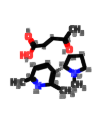 CC(=O)CCC(=O)O.Cc1ccc([C@@H]2CCCN2C)c(C)n1